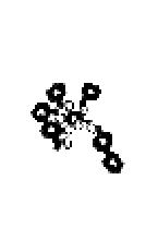 CC(=O)c1ccccc1OC1O[C@H](COCc2ccc(-c3ccccc3)cc2)[C@@H](OCc2ccccc2)[C@H](OCc2ccccc2)[C@H]1OCc1ccccc1